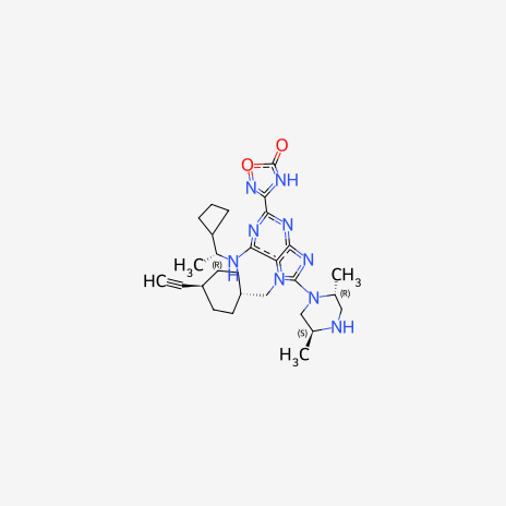 C#C[C@H]1CC[C@H](Cn2c(N3C[C@H](C)NC[C@H]3C)nc3nc(-c4noc(=O)[nH]4)nc(N[C@H](C)C4CCC4)c32)CC1